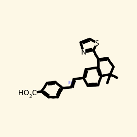 CC1(C)CC=C(c2nccs2)c2cc(/C=C/c3ccc(C(=O)O)cc3)ccc21